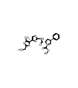 Cc1nc(CO)sc1-c1csc(NC(=O)[C@@H]2C[C@@H](c3ccccc3)CN2C(=O)OC(C)C)n1